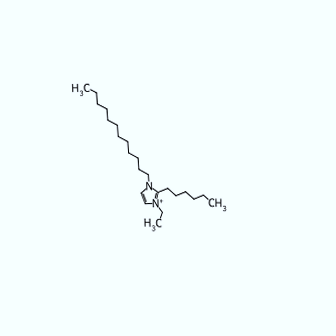 CCCCCCCCCCCCn1cc[n+](CC)c1CCCCCC